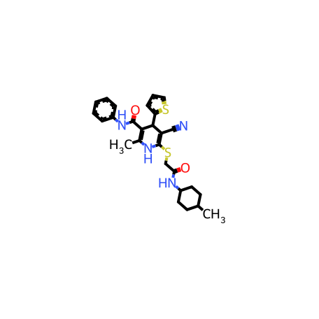 CC1=C(C(=O)Nc2ccccc2)C(c2cccs2)C(C#N)=C(SCC(=O)NC2CCC(C)CC2)N1